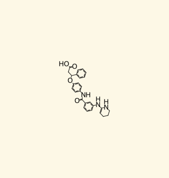 O=C(O)CC(Oc1ccc(NC(=O)c2cccc(NC3=CCCCN3)c2)cc1)c1ccccc1